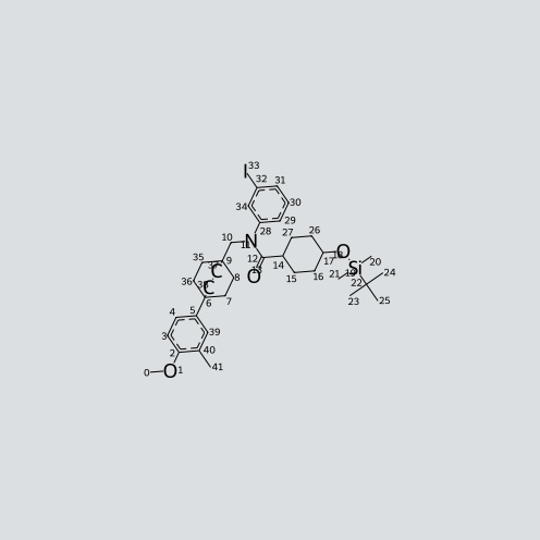 COc1ccc(C23CCC(CN(C(=O)C4CCC(O[Si](C)(C)C(C)(C)C)CC4)c4cccc(I)c4)(CC2)CC3)cc1C